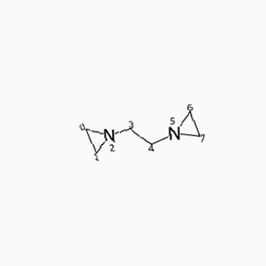 C1CN1CCN1CC1